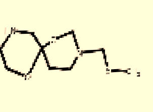 CSCN1CCC2(CC1)CNCCO2